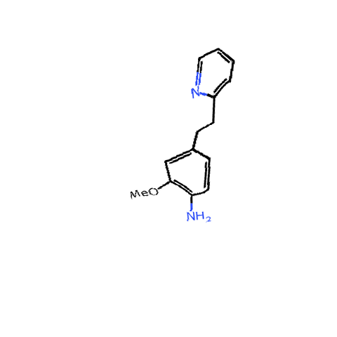 COc1cc(CCc2ccccn2)ccc1N